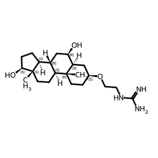 C[C@]12CC[C@H](OCCNC(=N)N)C[C@@H]1[C@H](O)C[C@@H]1[C@@H]2CC[C@]2(C)[C@@H](O)CC[C@@H]12